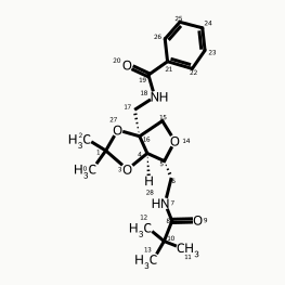 CC1(C)O[C@@H]2[C@@H](CNC(=O)C(C)(C)C)OC[C@]2(CNC(=O)c2ccccc2)O1